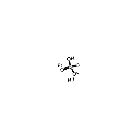 O=S(=O)(O)O.[Nd].[Pr]